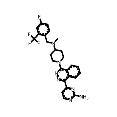 CN(Cc1ccc(F)cc1C(F)(F)F)C1CCN(c2nnc(-c3ccnc(N)n3)c3ccccc23)CC1